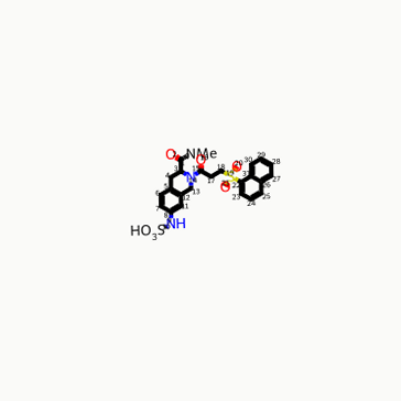 CNC(=O)C1Cc2ccc(NS(=O)(=O)O)cc2CN1C(=O)CCS(=O)(=O)c1cccc2ccccc12